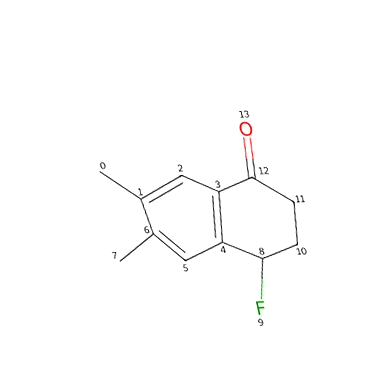 Cc1cc2c(cc1C)C(F)CCC2=O